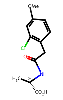 COc1ccc(CC(=O)N[C@@H](C)C(=O)O)c(Cl)c1